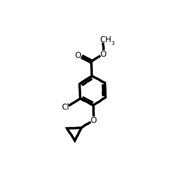 COC(=O)c1ccc(OC2CC2)c(Cl)c1